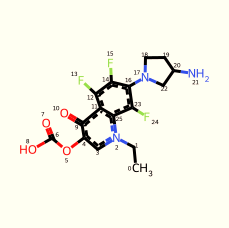 CCn1cc(OC(=O)O)c(=O)c2c(F)c(F)c(N3CCC(N)C3)c(F)c21